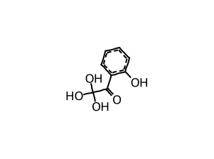 O=C(c1ccccc1O)C(O)(O)O